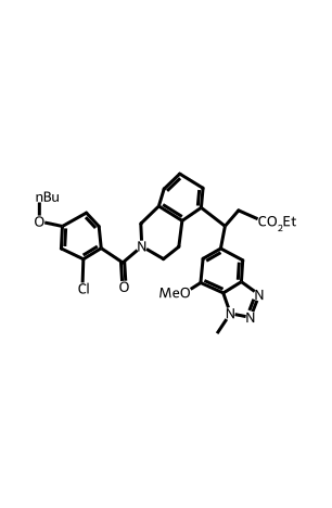 CCCCOc1ccc(C(=O)N2CCc3c(cccc3C(CC(=O)OCC)c3cc(OC)c4c(c3)nnn4C)C2)c(Cl)c1